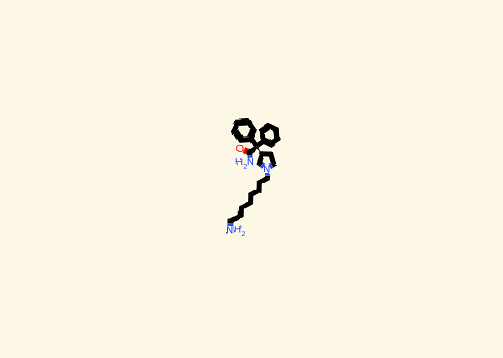 NCCCCCCCCN1CC[C@@H](C(C(N)=O)(c2ccccc2)c2ccccc2)C1